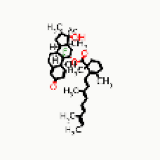 C/C=C(C)/C=C/C=C(C)/C=C/C1=C(C)CCCC1(C)C(=O)O[C@H]1C[C@@]2(C)[C@@H](C[C@@H](C)[C@]2(O)C(C)=O)[C@@H]2CCC3=CC(=O)C=C[C@]3(C)[C@@]12F